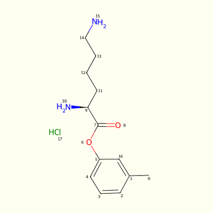 Cc1cccc(OC(=O)[C@@H](N)CCCCN)c1.Cl